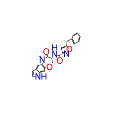 CN1C(=O)C(NC(=O)c2cc(Cc3ccccc3)on2)COc2cc3[nH]ccc3cc21